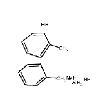 Cc1ccccc1.Cc1ccccc1.[AlH3].[HH].[HH].[NaH]